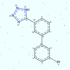 CC(C)c1cccc(-c2cccc(-c3nnn[nH]3)c2)c1